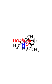 COCP(=O)(NC(C)C(=O)O)Oc1c(C(C)C)cccc1C(C)C